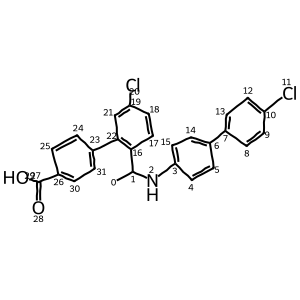 CC(Nc1ccc(-c2ccc(Cl)cc2)cc1)c1ccc(Cl)cc1-c1ccc(C(=O)O)cc1